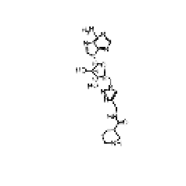 Nc1ncnc2c1ncn2[C@@H]1O[C@H](Cn2cc(CNC(=O)C3CCCNC3)nn2)[C@@H](O)[C@H]1O